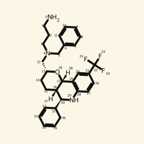 NCCCN(Cc1ccccc1)C[C@H]1CC[C@@H]2[C@H](O1)c1cc(C(F)(F)F)ccc1N[C@H]2C1C=CC=CC1